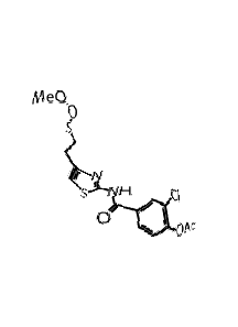 COOSCCc1csc(NC(=O)c2ccc(OC(C)=O)c(Cl)c2)n1